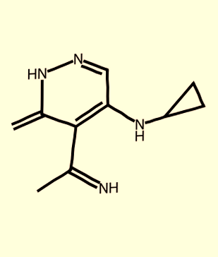 C=C1NN=CC(NC2CC2)=C1C(C)=N